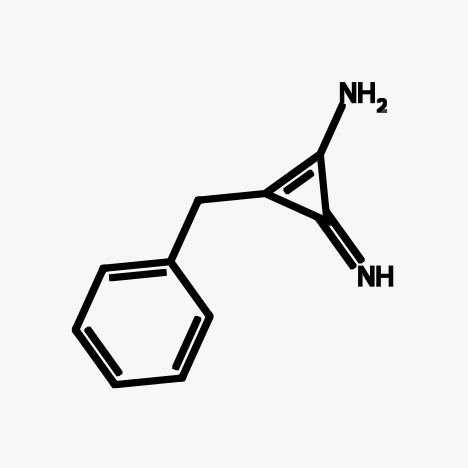 N=c1c(N)c1Cc1ccccc1